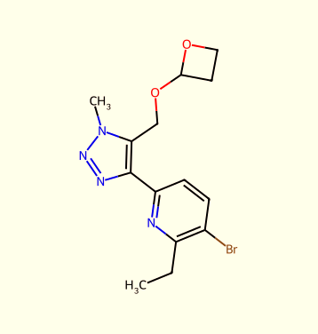 CCc1nc(-c2nnn(C)c2COC2CCO2)ccc1Br